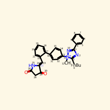 CCCCC1=NC(c2ccccc2)=N[N+]1(C)c1ccc(-c2ccccc2/C=C2\NC(=O)CC2=O)cc1